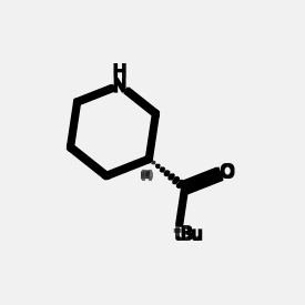 CC(C)(C)C(=O)[C@@H]1CCCNC1